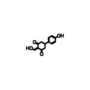 O=C1CC(c2ccc(O)cc2)CC(=O)C1=CO